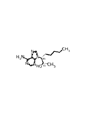 CCCCC[C@H]([C@H](C)O)n1cnc2c(N)ncnc21